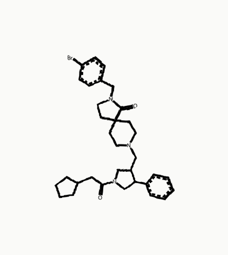 O=C(CC1CCCC1)N1CC(CN2CCC3(CC2)CCN(Cc2ccc(Br)cc2)C3=O)C(c2ccccc2)C1